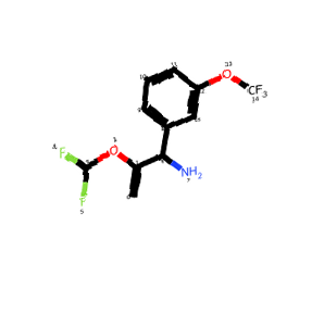 C=C(OC(F)F)C(N)c1cccc(OC(F)(F)F)c1